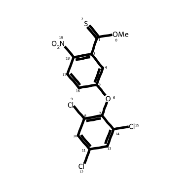 COC(=S)c1cc(Oc2c(Cl)cc(Cl)cc2Cl)ccc1[N+](=O)[O-]